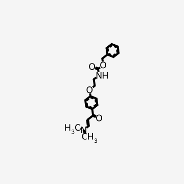 CN(C)C=CC(=O)c1ccc(OCCNC(=O)OCc2ccccc2)cc1